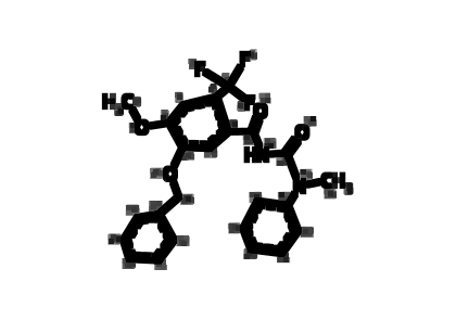 COc1cc(C(F)(F)F)c(C(=O)NC(=O)N(C)c2ccccc2)cc1OCc1ccccc1